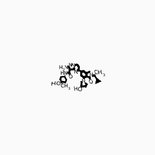 C[C@@H](C1CC1)N1Cc2cc(-c3ccn4nc(N)c(C(=O)N[C@H]5CC[C@@](C)(O)CC5)c4n3)cc(N3CC[C@@H](O)C3)c2C1=O